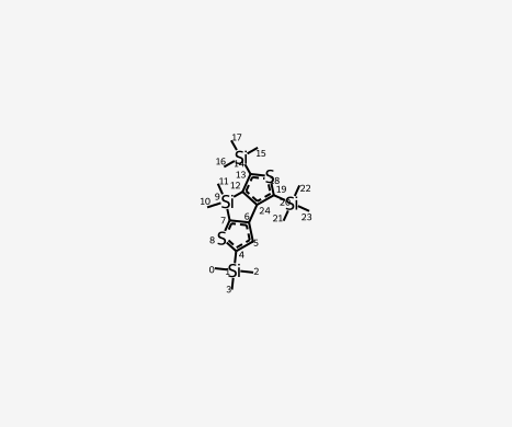 C[Si](C)(C)c1cc2c(s1)[Si](C)(C)c1c([Si](C)(C)C)sc([Si](C)(C)C)c1-2